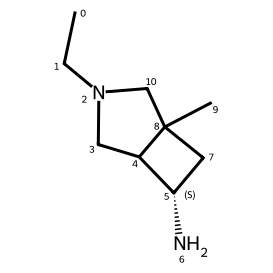 CCN1CC2[C@@H](N)CC2(C)C1